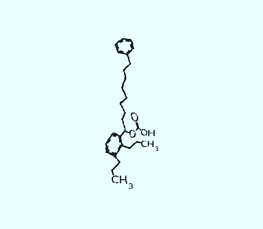 CCCc1cccc(C(CCCCCCCCc2ccccc2)OC(=O)O)c1CCC